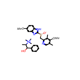 CC(C(O)c1ccccc1)[N+](C)(C)C.COc1ccc2[nH]c([S+]([O-])Cc3ncc(C)c(OC)c3C)nc2c1